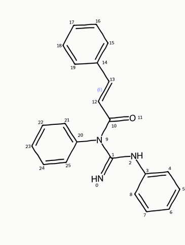 N=C(Nc1ccccc1)N(C(=O)/C=C/c1ccccc1)c1ccccc1